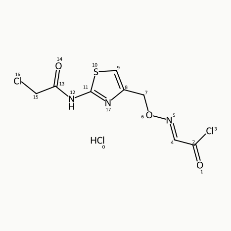 Cl.O=C(Cl)C=NOCc1csc(NC(=O)CCl)n1